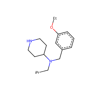 CCOc1cccc(CN(CC(C)C)C2CCNCC2)c1